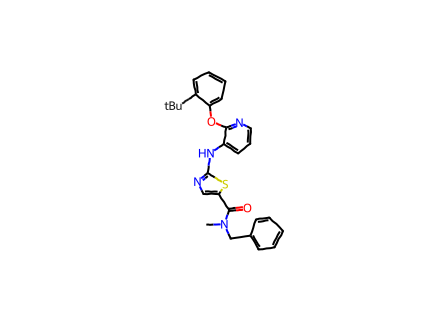 CN(Cc1ccccc1)C(=O)c1cnc(Nc2cccnc2Oc2ccccc2C(C)(C)C)s1